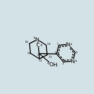 OC1(c2cncnc2)CN2CCC1CC2